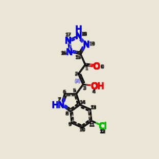 O=C(/C=C(\O)c1c[nH]c2ccc(Cl)cc12)c1nn[nH]n1